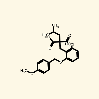 COc1ccc(CSc2cccc(Cl)c2CC(CC(C)C)(C(=O)O)C(=O)O)cc1